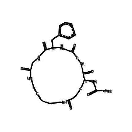 CCCCCC(=O)N[C@H]1CCC(=O)NCCCCNC(=O)CNC(=O)[C@@H](Cc2ccccc2)NC(=O)CNC1=O